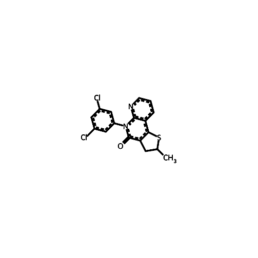 CC1Cc2c(c3cccnc3n(-c3cc(Cl)cc(Cl)c3)c2=O)S1